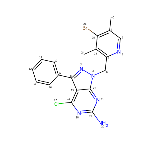 Cc1cnc(Cn2nc(-c3ccccc3)c3c(Cl)nc(N)nc32)c(C)c1Br